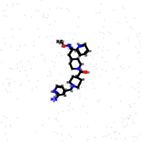 CO/N=C(\CC1CCN(C(=O)C2CCN(Cc3ccnc(N)c3)CC2)CC1)c1ccccn1